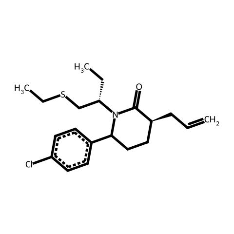 C=CC[C@H]1CCC(c2ccc(Cl)cc2)N([C@@H](CC)CSCC)C1=O